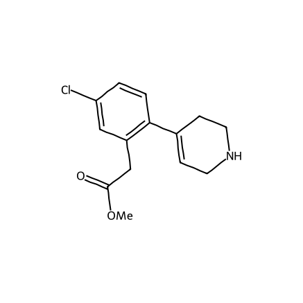 COC(=O)Cc1cc(Cl)ccc1C1=CCNCC1